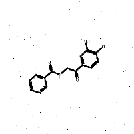 O=C(CNC(=O)c1cccnc1)c1ccc(Cl)c(O)c1